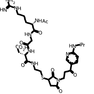 CC(=O)N[C@@H](CCCNC(=N)N)C(=O)NCC(=O)N[C@@H](CC(=O)O)C(=O)NCCSC1CC(=O)N(CCC(=O)c2ccc(NC(C)C)nc2)C1=O